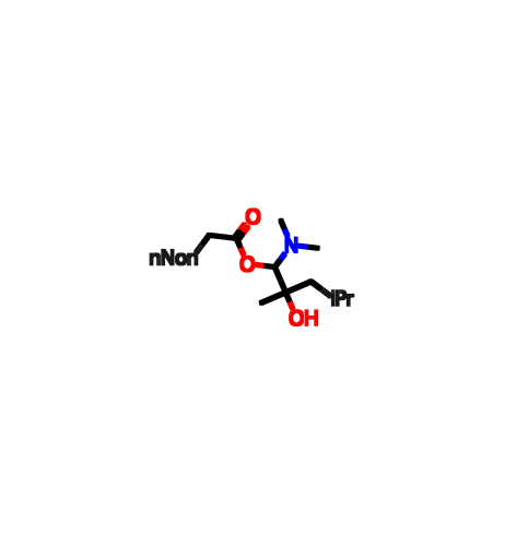 CCCCCCCCCCC(=O)OC(N(C)C)C(C)(O)CC(C)C